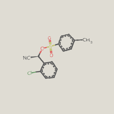 Cc1ccc(S(=O)(=O)O[C@H](C#N)c2ccccc2Cl)cc1